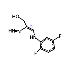 N=N/C(=C\Nc1cc(F)ccc1F)CO